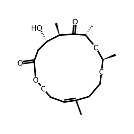 C/C1=C/CCOC(=O)C[C@H](O)[C@@H](C)C(=O)[C@H](C)C[C@@H](C)CCC1